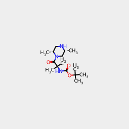 C[C@@H]1CN(C(=O)C(C)(C)NC(=O)OC(C)(C)C)[C@H](C)CN1